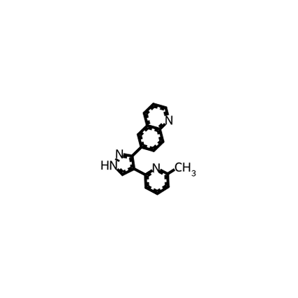 Cc1cccc(-c2c[nH]nc2-c2ccc3ncccc3c2)n1